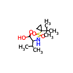 CC(C)C(NS(=O)(=O)C1(C(C)(C)C)CC1)C(=O)O